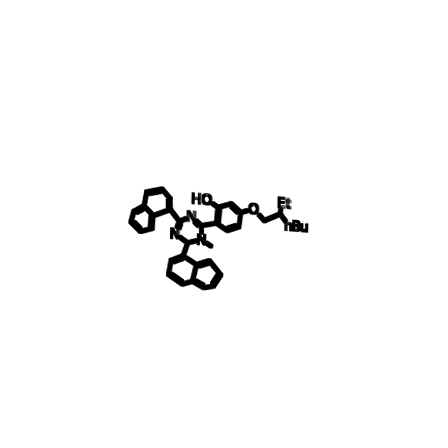 CCCCC(CC)COc1ccc(C2=NC(c3cccc4ccccc34)=NC(c3cccc4ccccc34)N2C)c(O)c1